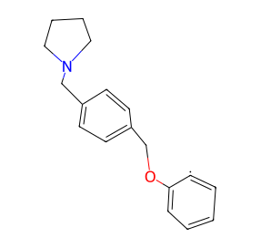 [c]1ccccc1OCc1ccc(CN2CCCC2)cc1